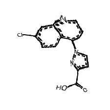 O=C(O)c1ccn(-c2ccnc3cc(Cl)ccc23)n1